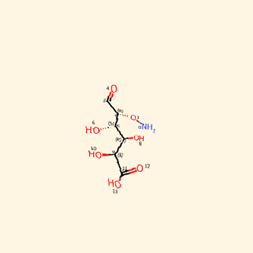 NO[C@@H](C=O)[C@@H](O)[C@@H](O)[C@H](O)C(=O)O